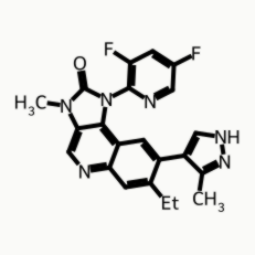 CCc1cc2ncc3c(c2cc1-c1c[nH]nc1C)n(-c1ncc(F)cc1F)c(=O)n3C